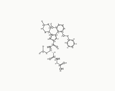 COc1cccc(OCc2ccccc2)c1-c1cc(C(=O)N[C@H](CC(=O)NCC(=O)O)CC(C)C)nn1C1CCC(C)CC1